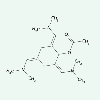 CC(=O)OC1/C(=C\N(C)C)C/C(=C\N(C)C)C/C1=C\N(C)C